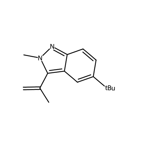 C=C(C)c1c2cc(C(C)(C)C)ccc2nn1C